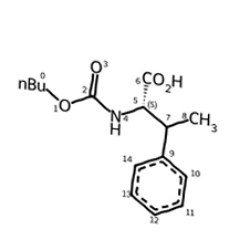 CCCCOC(=O)N[C@H](C(=O)O)C(C)c1ccccc1